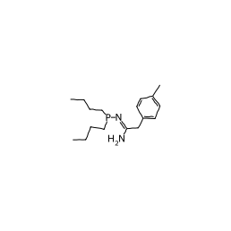 CCCCP(CCCC)N=C(N)Cc1ccc(C)cc1